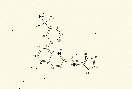 FC(F)(F)c1ccnc(-c2cccc3ccc(CNc4nccs4)nc23)c1